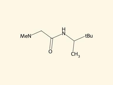 CNCC(=O)NC(C)C(C)(C)C